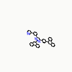 c1c(-c2cc(-c3cccc(-c4cccnc4)c3)nc(-c3cc4ccccc4c4ccccc34)n2)ccc(-c2cc3ccccc3c3ccccc23)c#1